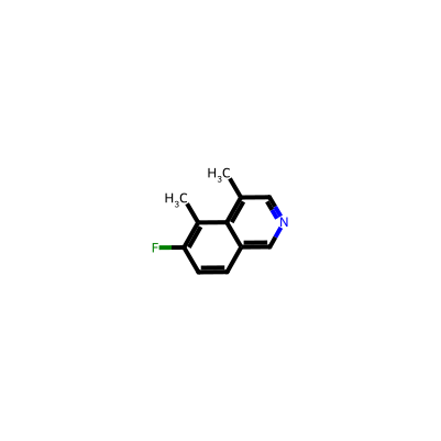 Cc1cncc2ccc(F)c(C)c12